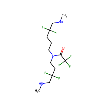 CNCC(F)(F)CCCN(CCC(F)(F)CNC)C(=O)C(F)(F)F